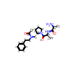 CC[C@H](N)C(=O)N[C@H](C(=O)N1CCC[C@H]1CN(CCc1ccccc1)C(=O)C(F)(F)F)C(C)C